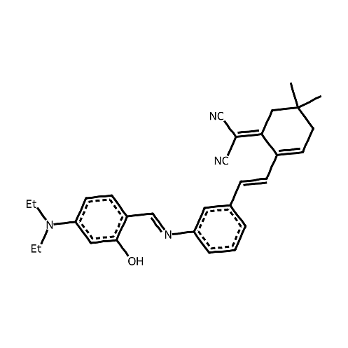 CCN(CC)c1ccc(/C=N/c2cccc(C=CC3=CCC(C)(C)CC3=C(C#N)C#N)c2)c(O)c1